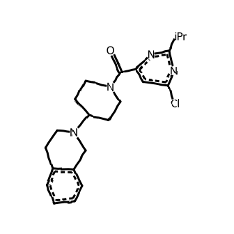 CC(C)c1nc(Cl)cc(C(=O)N2CCC(N3CCc4ccccc4C3)CC2)n1